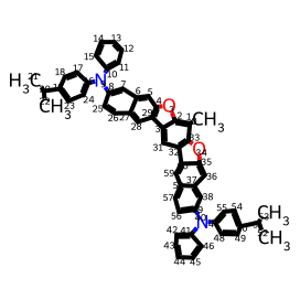 Cc1c2oc3cc4cc(N(c5ccccc5)c5ccc(C(C)C)cc5)ccc4cc3c2cc2c1oc1cc3cc(N(c4ccccc4)c4ccc(C(C)C)cc4)ccc3cc12